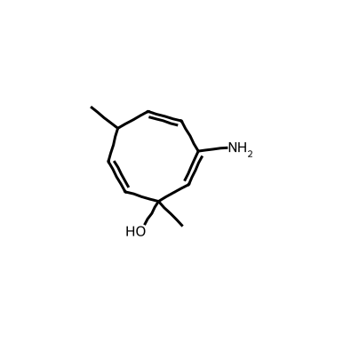 CC1/C=C\C(N)=C/C(C)(O)/C=C\1